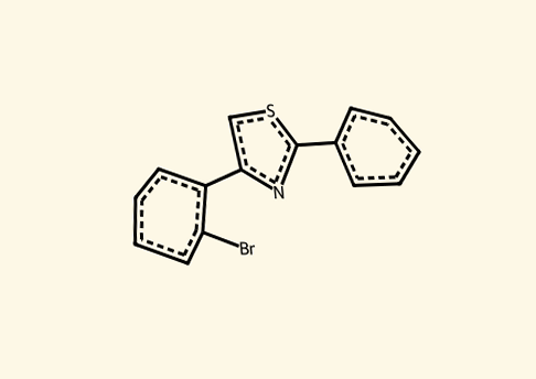 Brc1ccccc1-c1csc(-c2ccccc2)n1